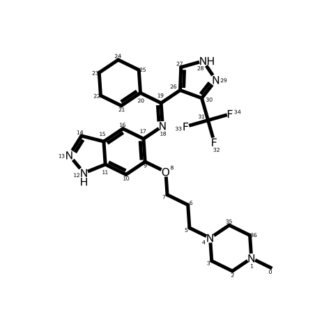 CN1CCN(CCCOc2cc3[nH]ncc3cc2/N=C(\C2=CCCCC2)c2c[nH]nc2C(F)(F)F)CC1